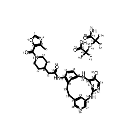 Cc1ncoc1C(=O)N1CCC(CC(=O)Nc2ccc3cc2CCc2cncc(c2)Nc2ncc(Cl)c(n2)N3)CC1.O=C(O)C(F)(F)F.O=C(O)C(F)(F)F